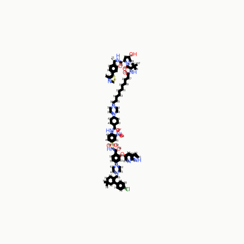 Cc1ncsc1-c1ccc([C@H](C)NC(=O)[C@@H]2C[C@@H](O)CN2C(=O)[C@@H](NC(=O)CCCCCCCCCCN2CCN(C3CCC(CNc4ccc(S(=O)(=O)NC(=O)c5ccc(N6CCN(CC7=C(c8ccc(Cl)cc8)CC(C)(C)CC7)CC6)cc5Oc5cnc6[nH]ccc6c5)cc4[N+](=O)[O-])CC3)CC2)C(C)(C)C)cc1